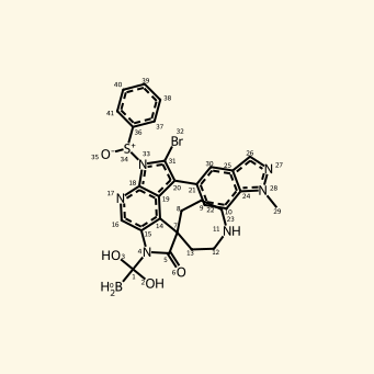 BC(O)(O)N1C(=O)C2(CCCNCC2)c2c1cnc1c2c(-c2ccc3c(cnn3C)c2)c(Br)n1[S+]([O-])c1ccccc1